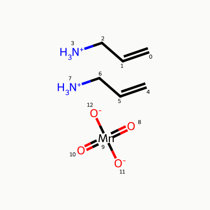 C=CC[NH3+].C=CC[NH3+].[O]=[Mn](=[O])([O-])[O-]